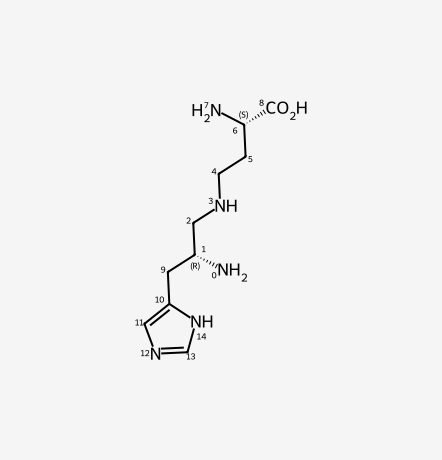 N[C@@H](CNCC[C@H](N)C(=O)O)Cc1cnc[nH]1